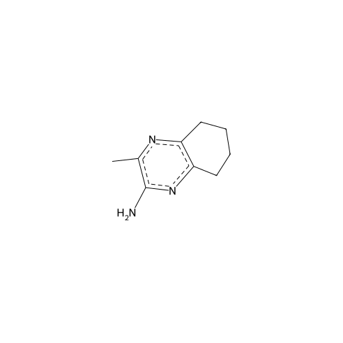 Cc1nc2c(nc1N)CCCC2